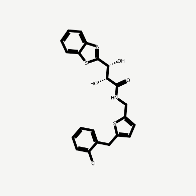 O=C(NCc1ccc(Cc2ccccc2Cl)s1)[C@H](O)[C@@H](O)c1nc2ccccc2s1